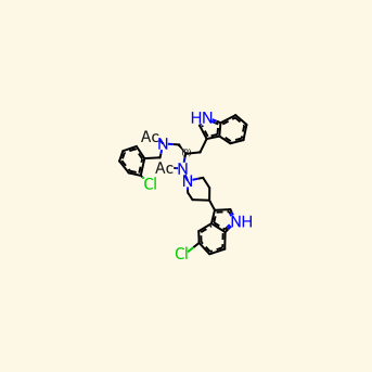 CC(=O)N(Cc1ccccc1Cl)C[C@@H](Cc1c[nH]c2ccccc12)N(C(C)=O)N1CCC(c2c[nH]c3ccc(Cl)cc23)CC1